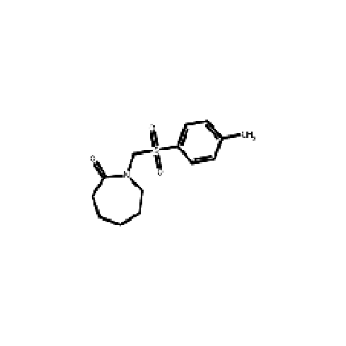 Cc1ccc(S(=O)(=O)CN2CCCCCC2=O)cc1